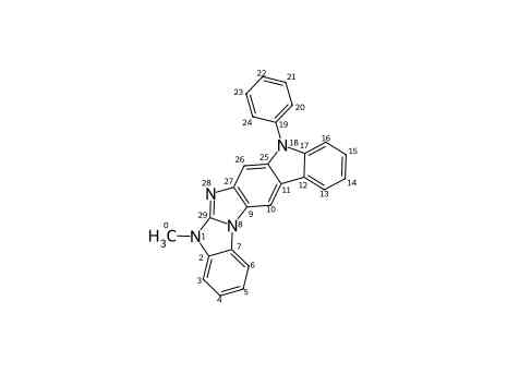 Cn1c2ccccc2n2c3cc4c5ccccc5n(-c5ccccc5)c4cc3nc12